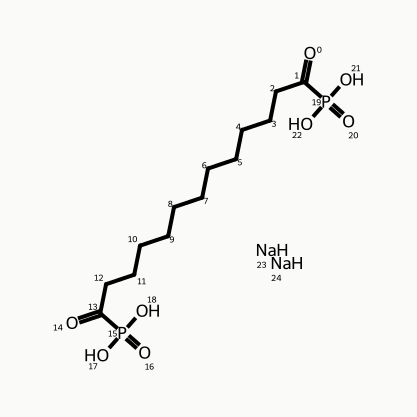 O=C(CCCCCCCCCCCC(=O)P(=O)(O)O)P(=O)(O)O.[NaH].[NaH]